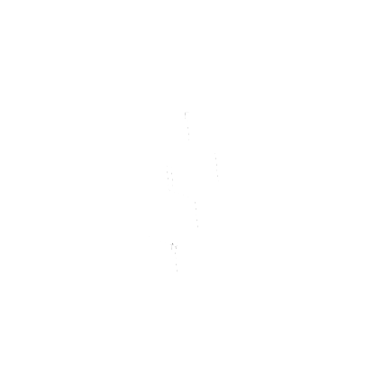 C[N+](C)=Cc1ccc(F)cc1